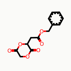 O=C(CC1OC(=O)COC1=O)OCc1ccccc1